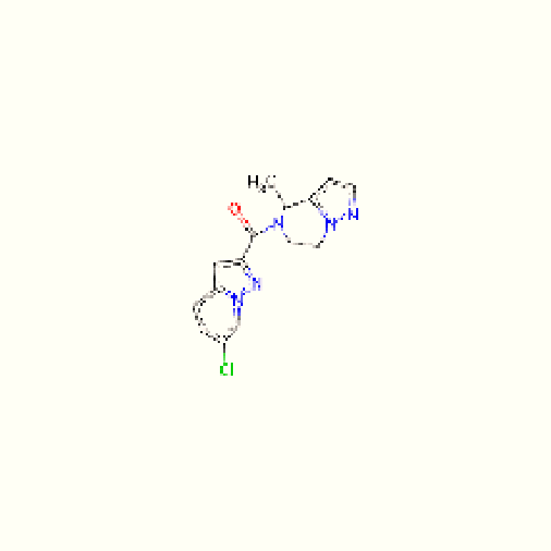 CC1c2ccnn2CCN1C(=O)c1cc2ccc(Cl)cn2n1